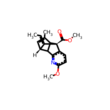 C/C=C1\[C@H]2C=C(C)C3C2c2nc(OC)ccc2[C@]13C(=O)OC